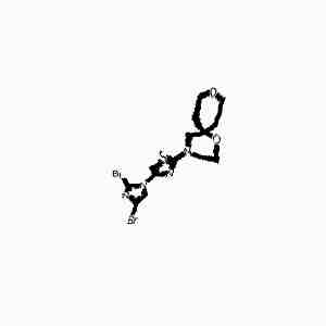 Brc1cn(-c2csc(N3CCOC4(CCOCC4)C3)n2)c(Br)n1